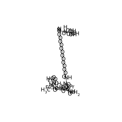 CC[C@@]1(O)C(=O)OCc2c1cc1n(c2=O)Cc2c-1nc1cc(F)c(C)c3c1c2[C@@H](NC(=O)OCc1ccc(NC(=O)[C@H](CCCNC(N)=O)NC(=O)[C@@H](NC(=O)[C@@H](N)CCCCNC(=O)CCOCCOCCOCCOCCOCCOCCOCCOCCOCCOCCOCCOCCn2nncc2CCC(=O)NC[C@H](O)[C@@H](O)[C@H](O)[C@H](O)CO)C(C)C)cc1)CC3